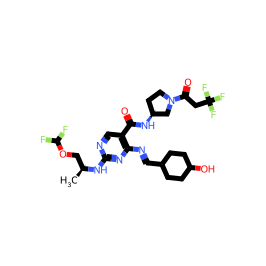 C[C@@H](COC(F)F)Nc1ncc(C(=O)N[C@H]2CCN(C(=O)CC(F)(F)F)C2)c(/N=C/C2CCC(O)CC2)n1